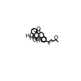 CC(=O)/C=C/[C@@H](C)c1ccc2c(c1)CC[C@H]1[C@H]2[C@@H]2O[C@@H]2[C@@]2(O)CC=CC(=O)[C@]12C